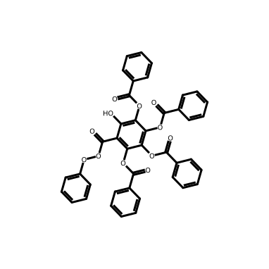 O=C(Oc1c(O)c(C(=O)OOc2ccccc2)c(OC(=O)c2ccccc2)c(OC(=O)c2ccccc2)c1OC(=O)c1ccccc1)c1ccccc1